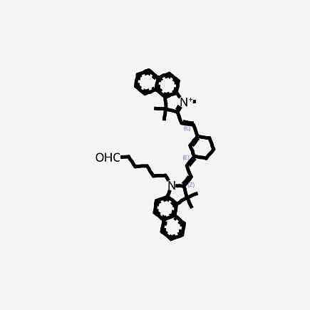 C[N+]1=C(/C=C/C2=CC(=C/C=C3\N(CCCCCC=O)c4ccc5ccccc5c4C3(C)C)/CCC2)C(C)(C)c2c1ccc1ccccc21